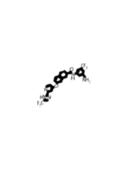 NCc1cc(NC(=O)C2CCc3ccc(Oc4ccnc(-c5ncc(C(F)(F)F)[nH]5)c4)cc3C2)cc(C(F)(F)F)c1